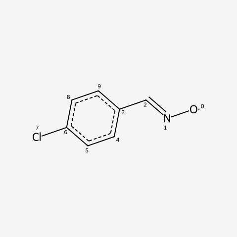 [O]/N=C/c1ccc(Cl)cc1